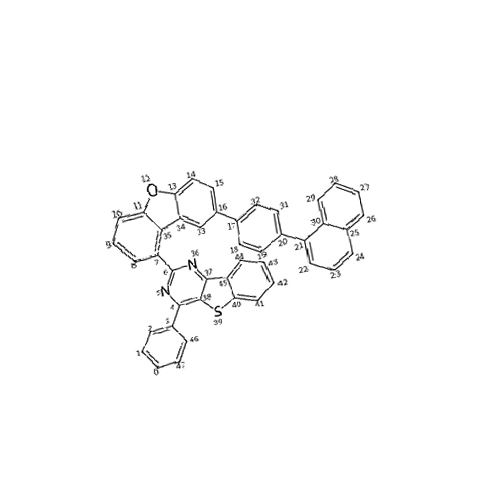 c1ccc(-c2nc(-c3cccc4oc5ccc(-c6ccc(-c7cccc8ccccc78)cc6)cc5c34)nc3c2sc2ccccc23)cc1